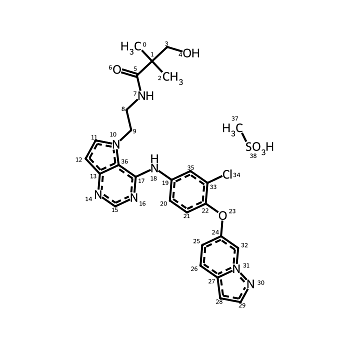 CC(C)(CO)C(=O)NCCn1ccc2ncnc(Nc3ccc(Oc4ccc5ccnn5c4)c(Cl)c3)c21.CS(=O)(=O)O